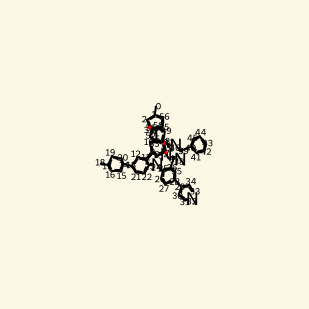 Cc1ccc(-c2ccc3c(c2)c2cc(-c4ccc(C)cc4)ccc2n3-c2ccc(-c3ccncc3)cc2-c2nc(-c3ccccc3)nc(-c3ccccc3)n2)cc1